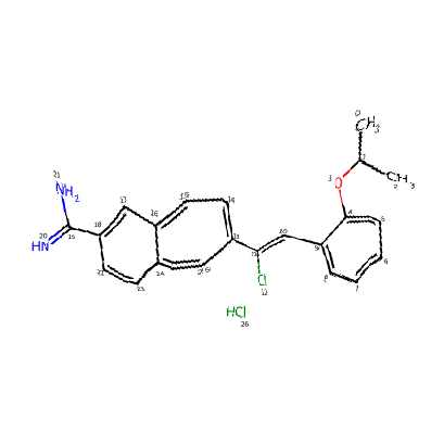 CC(C)Oc1ccccc1/C=C(\Cl)c1ccc2cc(C(=N)N)ccc2c1.Cl